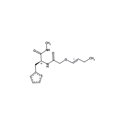 CC/C=C/OCC(=O)N[C@@H](Cc1cccs1)C(=O)NC